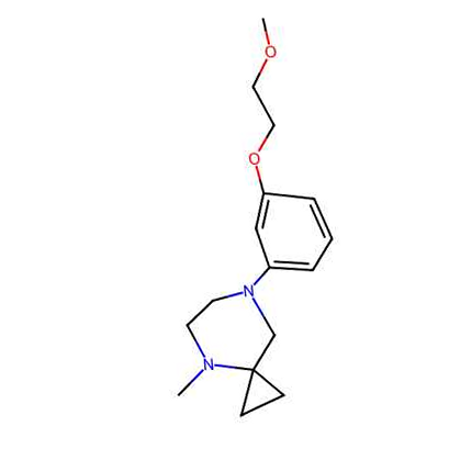 COCCOc1cccc(N2CCN(C)C3(CC3)C2)c1